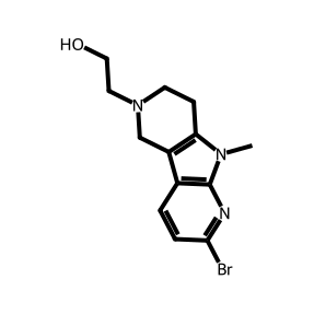 Cn1c2c(c3ccc(Br)nc31)CN(CCO)CC2